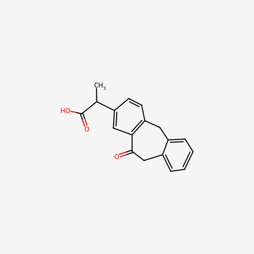 CC(C(=O)O)c1ccc2c(c1)C(=O)Cc1ccccc1C2